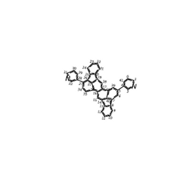 c1cncc(-c2cc3c4ccccc4c4cc5c(cc6c7ccccc7c7c(-c8cccnc8)ccc5c67)c(c2)c34)c1